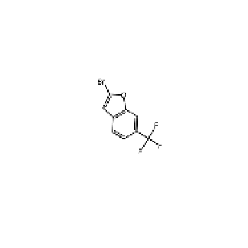 FC(F)(F)c1ccc2cc(Br)oc2c1